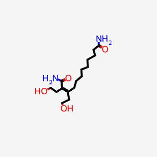 NC(=O)CCCCCCCCC(CCO)=C(CCO)C(N)=O